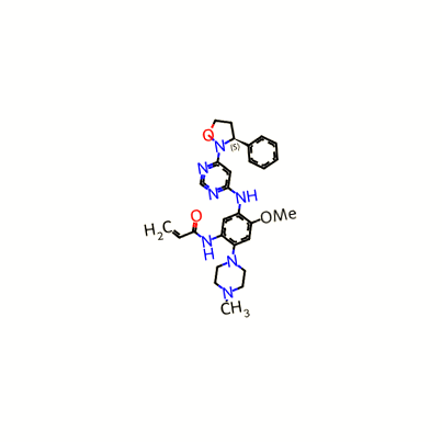 C=CC(=O)Nc1cc(Nc2cc(N3OCC[C@H]3c3ccccc3)ncn2)c(OC)cc1N1CCN(C)CC1